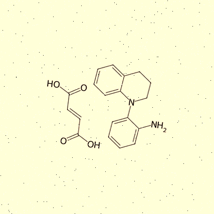 Nc1ccccc1N1CCCc2ccccc21.O=C(O)C=CC(=O)O